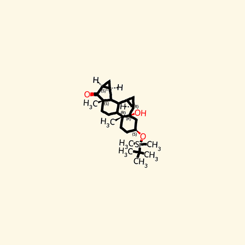 CC(C)(C)[Si](C)(C)O[C@H]1CC[C@]2(C)C3CC[C@]4(C)C(=O)[C@H]5C[C@H]5C4C3C3C[C@H]3[C@]2(O)C1